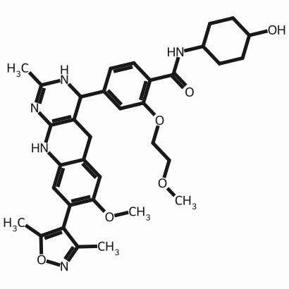 COCCOc1cc(C2NC(C)=NC3=C2Cc2cc(OC)c(-c4c(C)noc4C)cc2N3)ccc1C(=O)NC1CCC(O)CC1